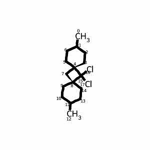 CC1CC[C@]2(CC1)C[C@@]1(CCC(C)CC1)C2(Cl)Cl